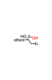 O=S(=O)(O)O.[Li][CH2]CCCCCC